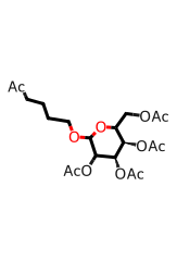 CC(=O)CCCCOC1OC(COC(C)=O)[C@@H](OC(C)=O)[C@@H](OC(C)=O)C1OC(C)=O